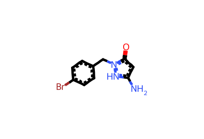 Nc1cc(=O)n(Cc2ccc(Br)cc2)[nH]1